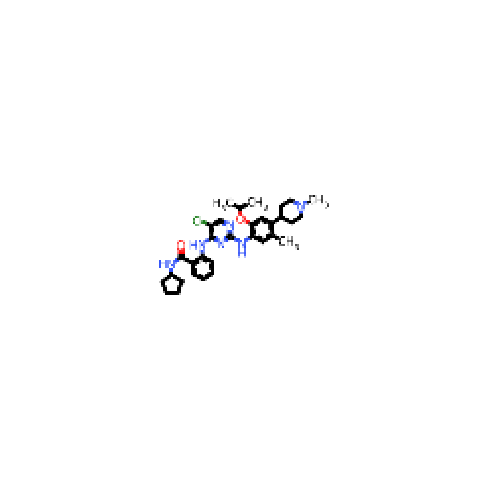 Cc1cc(Nc2ncc(Cl)c(Nc3ccccc3C(=O)NC3CCCC3)n2)c(OC(C)C)cc1C1CCN(C)CC1